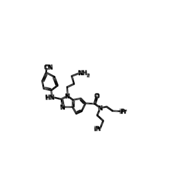 CC(C)CCN(CCC(C)C)C(=O)c1ccc2nc(Nc3ccc(C#N)cc3)n(CCCN)c2c1